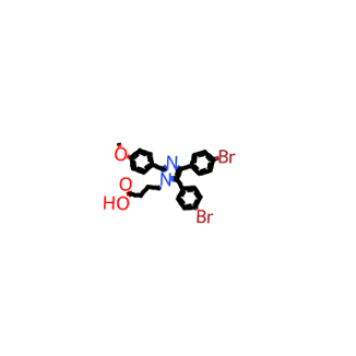 COc1ccc(-c2nc(-c3ccc(Br)cc3)c(-c3ccc(Br)cc3)n2CCCC(=O)O)cc1